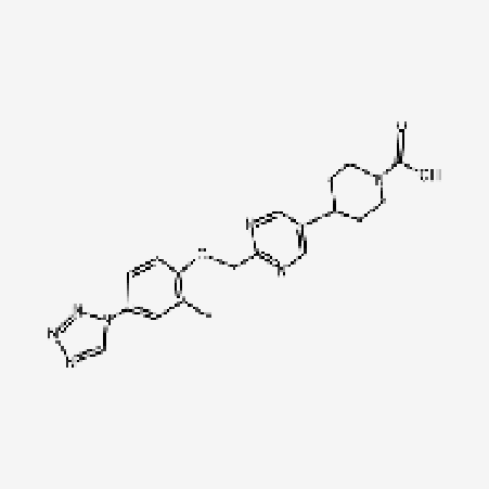 O=C(O)N1CCC(c2cnc(COc3ccc(-n4cnnn4)cc3F)nc2)CC1